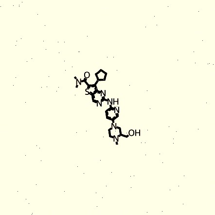 CN(C)C(=O)c1sc2cnc(Nc3ccc(N4CCN(C)C(CO)C4)cn3)nc2c1C1CCCC1